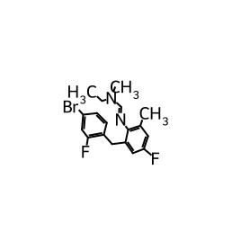 CCN(C)C=Nc1c(C)cc(F)cc1Cc1ccc(Br)cc1F